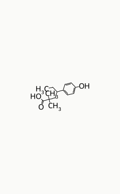 CCC(CC(C)(C)C(=O)O)c1ccc(O)cc1